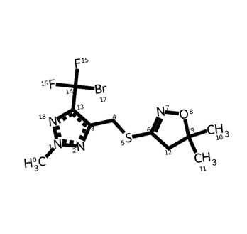 Cn1nc(CSC2=NOC(C)(C)C2)c(C(F)(F)Br)n1